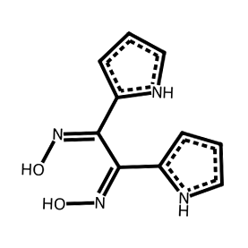 O/N=C(\C(=N/O)c1ccc[nH]1)c1ccc[nH]1